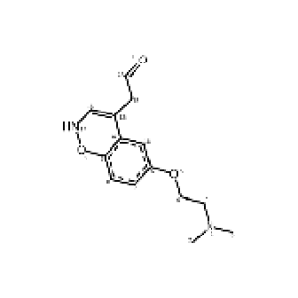 CN(C)CCOc1ccc2c(c1)C(CC=O)=CNO2